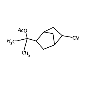 CC(=O)OC(C)(C)C1CC2CC1CC2C#N